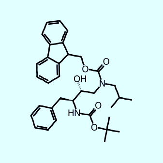 CC(C)CN(C[C@@H](O)[C@H](Cc1ccccc1)NC(=O)OC(C)(C)C)C(=O)OCC1c2ccccc2-c2ccccc21